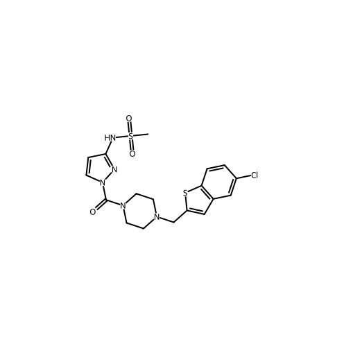 CS(=O)(=O)Nc1ccn(C(=O)N2CCN(Cc3cc4cc(Cl)ccc4s3)CC2)n1